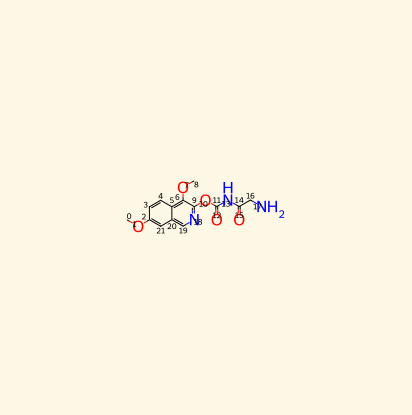 COc1ccc2c(OC)c(OC(=O)NC(=O)CN)ncc2c1